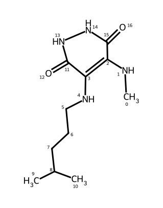 CNc1c(NCCCC(C)C)c(=O)[nH][nH]c1=O